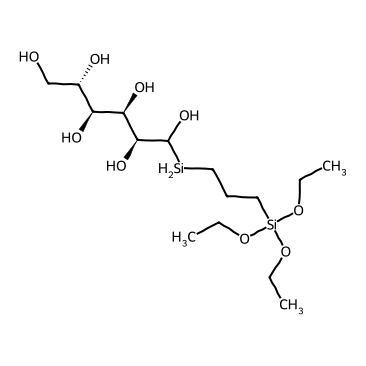 CCO[Si](CCC[SiH2]C(O)[C@@H](O)[C@H](O)[C@@H](O)[C@@H](O)CO)(OCC)OCC